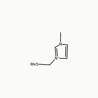 CSC[n+]1ccn(C)c1